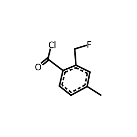 Cc1ccc(C(=O)Cl)c(CF)c1